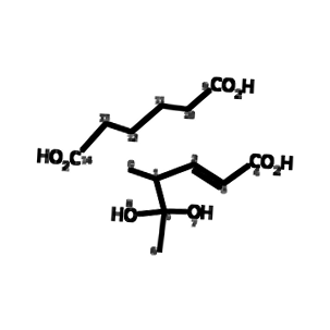 CC(C=CC(=O)O)C(C)(O)O.O=C(O)CCCCC(=O)O